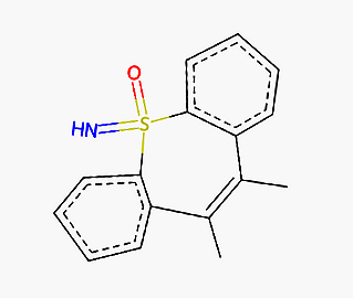 CC1=C(C)c2ccccc2S(=N)(=O)c2ccccc21